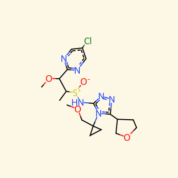 COCC1(n2c(N[S+]([O-])C(C)C(OC)c3ncc(Cl)cn3)nnc2C2CCOC2)CC1